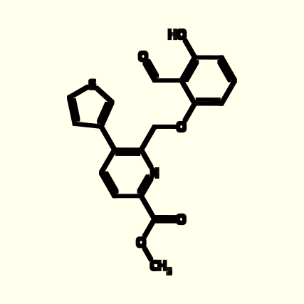 COC(=O)c1ccc(-c2ccsc2)c(COc2cccc(O)c2C=O)n1